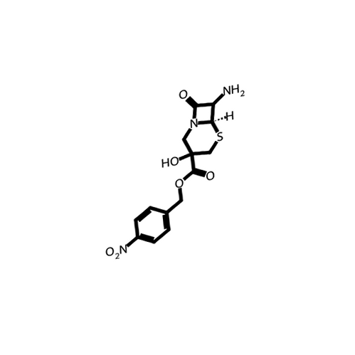 NC1C(=O)N2CC(O)(C(=O)OCc3ccc([N+](=O)[O-])cc3)CS[C@H]12